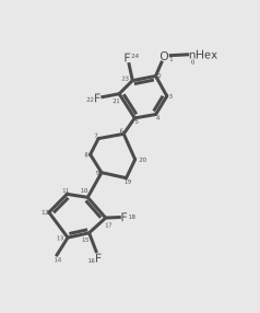 CCCCCCOc1ccc(C2CCC(c3ccc(C)c(F)c3F)CC2)c(F)c1F